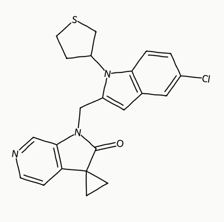 O=C1N(Cc2cc3cc(Cl)ccc3n2C2CCSC2)c2cnccc2C12CC2